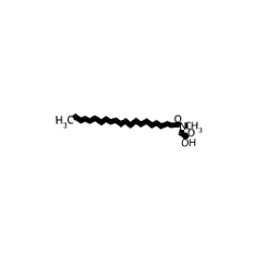 CCCCCCCCCCCCCCCCCCCCCC(=O)N(C)CC(=O)O